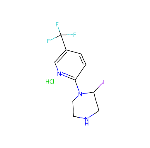 Cl.FC(F)(F)c1ccc(N2CCNCC2I)nc1